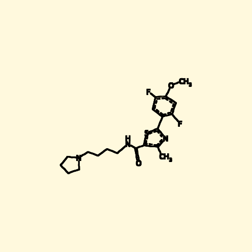 COc1cc(F)c(-c2nc(C)c(C(=O)NCCCCN3CCCC3)s2)cc1F